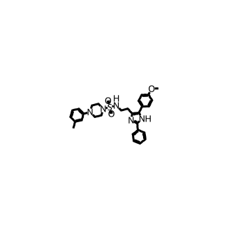 COc1ccc(-c2[nH]c(-c3ccccc3)nc2CCNS(=O)(=O)N2CCN(c3cccc(C)c3)CC2)cc1